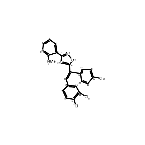 CNc1ncccc1-c1noc(C(=Cc2ccc(Cl)c(Cl)c2)c2ccc(Cl)cc2)n1